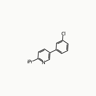 CC(C)c1ccc(-c2cccc(Cl)c2)cn1